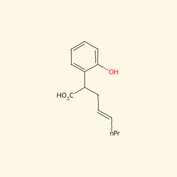 CCCC=CCC(C(=O)O)c1ccccc1O